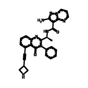 C[C@H](NC(=O)c1c(N)nn2cccnc12)c1nc2cccc(C#CC3CNC3)c2c(=O)n1-c1ccccc1